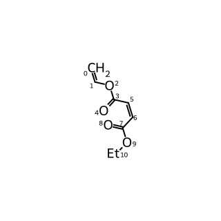 C=COC(=O)/C=C\C(=O)OCC